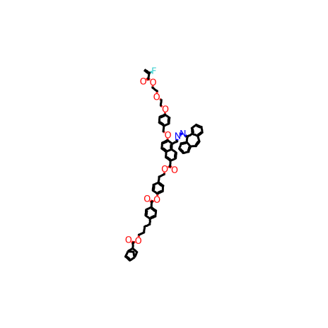 C=C(F)C(=O)OCCOCCOc1ccc(COc2ccc3cc(C(=O)OCCc4ccc(OC(=O)c5ccc(CCCCOC(=O)C6CC7C=CC6C7)cc5)cc4)ccc3c2/C=N/N=c2c3ccccc3ccc3ccccc23)cc1